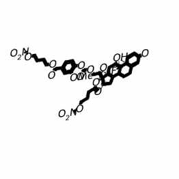 COc1cc(C(=O)OCCCCO[N+](=O)[O-])ccc1OC(=O)OCC(=O)[C@@]1(OC(=O)CCCO[N+](=O)[O-])[C@@H](C)CC2C3CCC4=CC(=O)C=C[C@]4(C)[C@@]3(F)[C@@H](O)C[C@@]21C